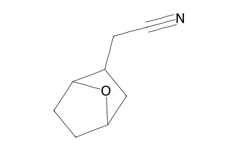 N#CCC1CC2CCC1O2